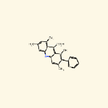 Cc1cc(C)c2c(C(=O)O)c3c(C)c(-c4ccccc4)c(C)cc3nc2c1